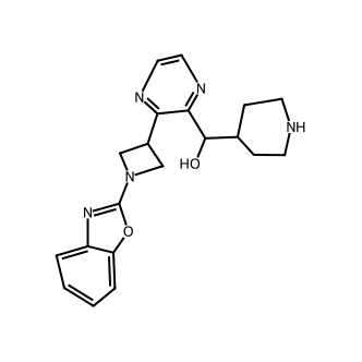 OC(c1nccnc1C1CN(c2nc3ccccc3o2)C1)C1CCNCC1